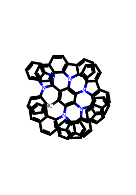 N#Cc1c(-c2nc3ccccc3n2-c2ccccc2)c(-n2c3ccccc3c3ccc4ccccc4c32)c(-n2c3ccccc3c3ccc4ccccc4c32)c(-n2c3ccccc3c3ccc4ccccc4c32)c1-n1c2ccccc2c2ccc3ccccc3c21